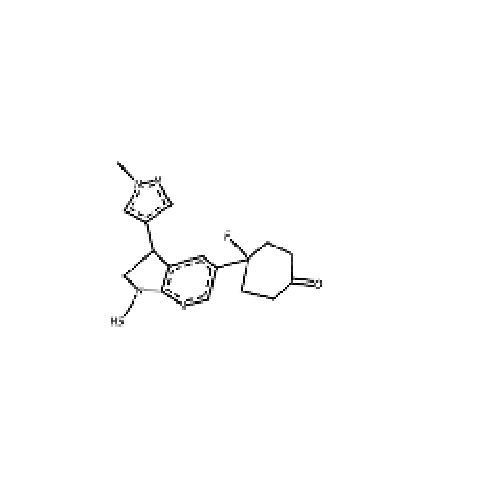 Cn1cc(C2CN(S)c3ncc(C4(F)CCC(=O)CC4)cc32)cn1